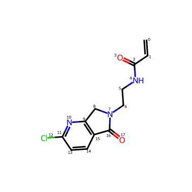 C=CC(=O)NCCN1Cc2nc(Cl)ccc2C1=O